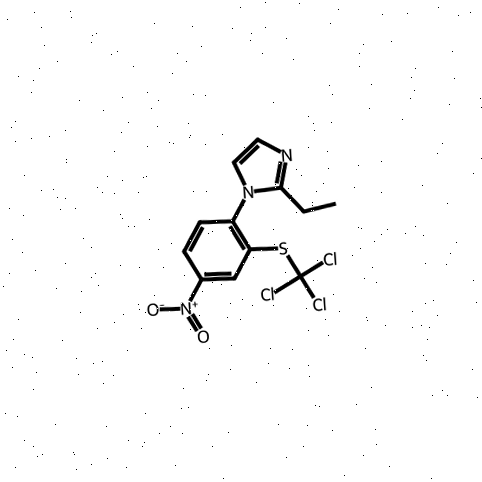 CCc1nccn1-c1ccc([N+](=O)[O-])cc1SC(Cl)(Cl)Cl